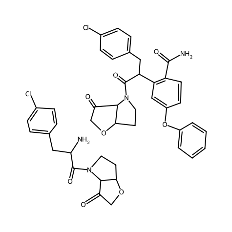 NC(=O)c1ccc(Oc2ccccc2)cc1C(Cc1ccc(Cl)cc1)C(=O)N1CCC2OCC(=O)C21.NC(Cc1ccc(Cl)cc1)C(=O)N1CCC2OCC(=O)C21